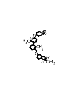 Cc1nc(OC2CCS(=O)(=O)CC2)ccc1-c1cccc(COc2ccc3c(c2)C[C@H]2[C@H](C)[C@@H]32)c1C